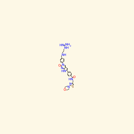 N=C(N)NCCCNCc1ccc(-n2cc3cc(-c4ccc(C(=O)NCc5csc(N6CCOCC6)n5)cc4)[nH]c3nc2=O)cc1